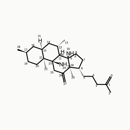 C=C(C)CCC[C@H]1CC[C@@]2(N)[C@@H]3[C@@H](C)C[C@@H]4C[C@H](C)CC[C@]4(C)[C@@]3(N)CC(=C)[C@]12C